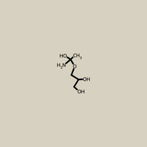 CC(N)(O)OCC(O)CO